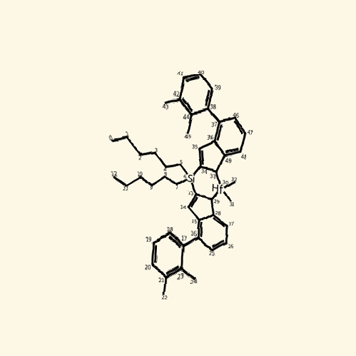 CCCCCC[Si]1(CCCCCC)C2=Cc3c(-c4cccc(C)c4C)cccc3[CH]2[Hf]([CH3])([CH3])[CH]2C1=Cc1c(-c3cccc(C)c3C)cccc12